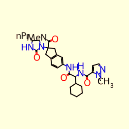 CCCC1CN(C2(C(=O)NC)Cc3ccc(NC(=O)[C@@H](NC(=O)c4ccnn4C)C4CCCCC4)cc3C2)C(=O)N1